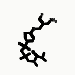 CC(C)C(=O)N(C)CC(C)(C)CS(=O)(=O)c1ccc(OCC(=CF)CN)cc1